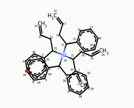 C=CCC(c1ccccc1)[N+](C(CC=C)c1ccccc1)(C(CC=C)c1ccccc1)C(CC=C)c1ccccc1